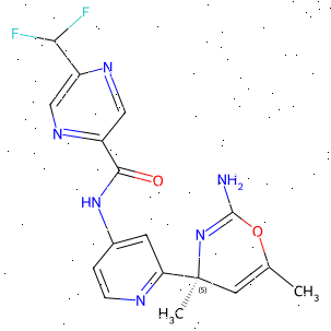 CC1=C[C@@](C)(c2cc(NC(=O)c3cnc(C(F)F)cn3)ccn2)N=C(N)O1